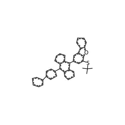 CC(C)(C)Sc1cc(-c2c3ccccc3c(-c3ccc(-c4ccccc4)cc3)c3ccccc23)cc2c1oc1ccccc12